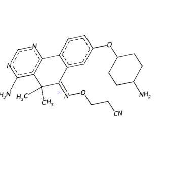 CC1(C)/C(=N/OCCC#N)c2cc(OC3CCC(N)CC3)ccc2-c2ncnc(N)c21